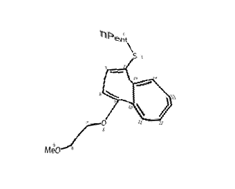 CCCCCSc1ccc(OCCOC)c2ccccc12